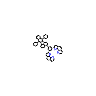 c1ccc(-c2c3c(c(-c4ccccc4)c4ccccc24)-c2ccc(-c4cc(-c5ccc6ccc7cccnc7c6n5)cc(-c5ccc6ccc7cccnc7c6n5)c4)c4cccc-3c24)cc1